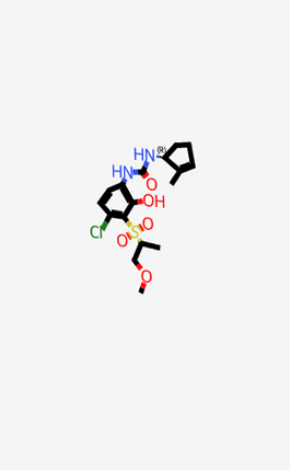 COCC(C)S(=O)(=O)c1c(Cl)ccc(NC(=O)N[C@@H]2CCC=C2C)c1O